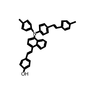 Cc1ccc(C=Cc2ccc(N(c3ccc(C)cc3)c3ccc(C=Cc4ccc(O)cc4)c4ccccc34)cc2)cc1